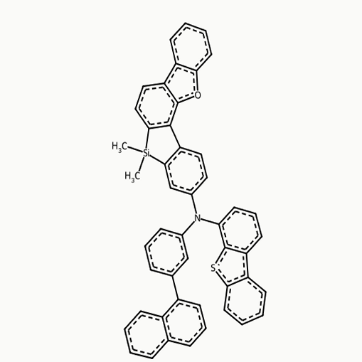 C[Si]1(C)c2cc(N(c3cccc(-c4cccc5ccccc45)c3)c3cccc4c3sc3ccccc34)ccc2-c2c1ccc1c2oc2ccccc21